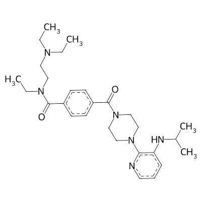 CCN(CC)CCN(CC)C(=O)c1ccc(C(=O)N2CCN(c3ncccc3NC(C)C)CC2)cc1